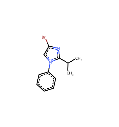 CC(C)c1nc(Br)cn1-c1ccccc1